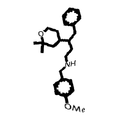 COc1ccc(CNCCC(Cc2ccccc2)C2CCOC(C)(C)C2)cc1